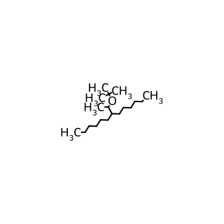 CCCCCCC(CCCCCC)C(C)OC(C)(C)C